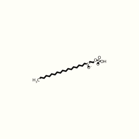 CCCCCCCCCCCCCCCCCC[S+]([O-])CCOS(=O)(=O)O